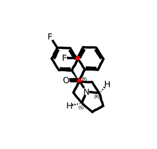 O=C(c1ccccc1F)N1[C@@H]2CC[C@H]1C[C@@H](c1ccc(F)cc1)C2